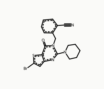 N#Cc1ccccc1Cn1c(N2CCCCC2)nc2cc(Br)sc2c1=O